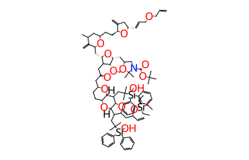 C=CCOC/C=C/[C@H]1CC(=C)[C@H](CCC2CC(C)C(=C)C(C[C@@H]3O[C@H](CC4CN(C(=O)OC(C)(C)C)C(C)(C)O4)[C@H](OC)C3CC(=O)CC3CCC4O[C@H]5C(CC(C)(C)[Si](O)(c6ccccc6)c6ccccc6)C(CC(C=C)O[Si](CC)(CC)CC)OC5C(CC(C)(C)[Si](O)(c5ccccc5)c5ccccc5)[C@H]4O3)O2)O1